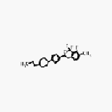 CCCC1CCC(c2ccc(C3Cc4ccc(C)c(F)c4C(F)(F)O3)cc2)CC1